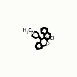 CN1CCC(=C2c3ccccc3COc3ccc4ccccc4c32)CC1.Cl